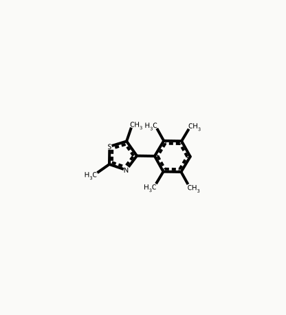 Cc1nc(-c2c(C)c(C)cc(C)c2C)c(C)s1